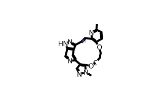 Cc1ccc2c(n1)/C=C/c1n[nH]c3cnc(cc13)-c1cnn(C)c1OCCCO2